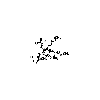 CCCCOC1=C(COC(N)=O)N(CC(C)(C)C)C=C2CC(=O)C(OCC)C=C21